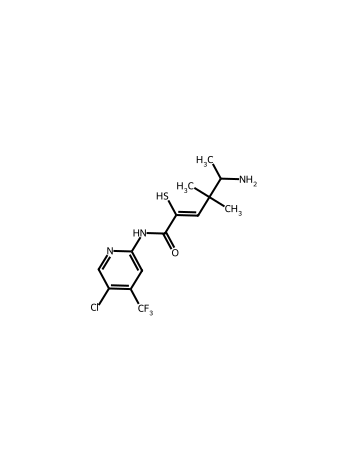 CC(N)C(C)(C)/C=C(\S)C(=O)Nc1cc(C(F)(F)F)c(Cl)cn1